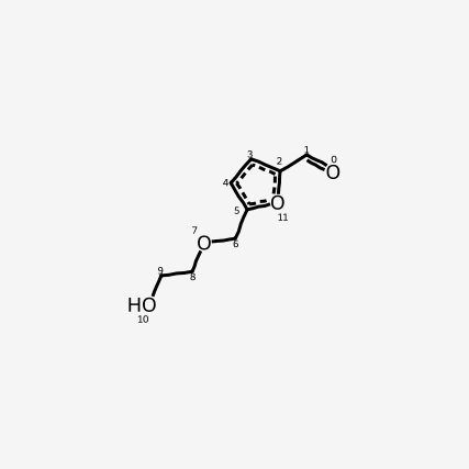 O=Cc1ccc(COCCO)o1